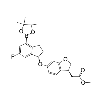 COC(=O)C[C@@H]1COc2cc(O[C@@H]3CCc4c(B5OC(C)(C)C(C)(C)O5)cc(F)cc43)ccc21